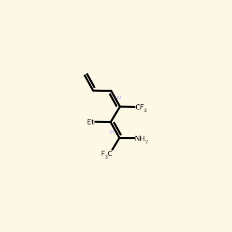 C=C/C=C(\C(CC)=C(/N)C(F)(F)F)C(F)(F)F